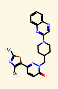 Cc1nc(C)c(-c2ccc(=O)n(CC3CCN(c4cnc5ccccc5n4)CC3)n2)s1